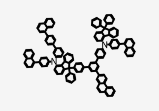 c1ccc(C2(c3ccccc3)c3ccccc3-c3c(N(c4ccc(-c5cc(-c6ccc(C7(c8ccccc8)c8ccccc8-c8c(N(c9ccc(-c%10cccc%11ccccc%10%11)cc9)c9cccc(-c%10ccc(-c%11cccc%12ccccc%11%12)cc%10)c9)cccc87)cc6)cc(-c6ccc7c(ccc8ccccc87)c6)c5)cc4)c4ccc(-c5cccc6ccccc56)cc4)cccc32)cc1